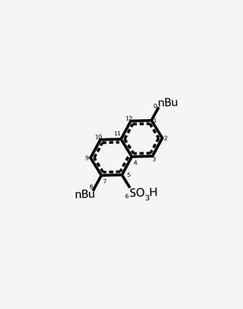 CCCCc1ccc2c(S(=O)(=O)O)c(CCCC)ccc2c1